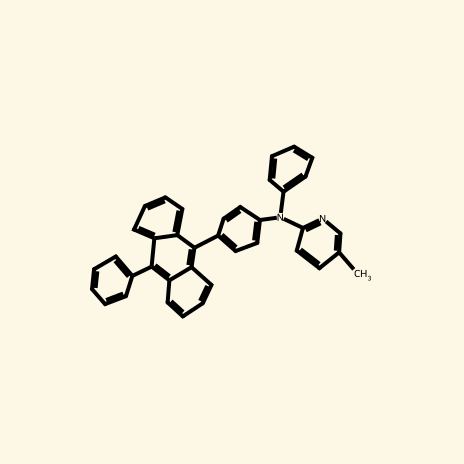 Cc1ccc(N(c2ccccc2)c2ccc(-c3c4ccccc4c(-c4ccccc4)c4ccccc34)cc2)nc1